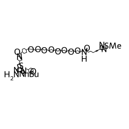 CCCCc1nc2c(N)nc3cc(C4CCN(C(=O)C5CCC(COCCOCCOCCOCCOCCOCCOCCOCCNC(=O)CCCC#Cc6cnc(SC)nc6)CC5)CC4)sc3c2n1CC1CCOCC1